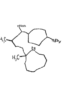 CCCCCCCCCC(C(C)CCC1(C)CCCCCCP1)C1CCC(CCC)CC1